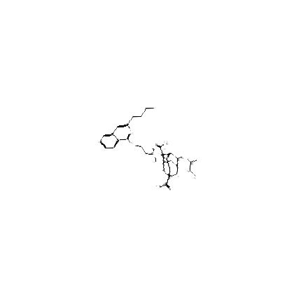 CCCCc1cc2ccccc2c(OCC[N+](C)(C)C2(C(N)=O)C3CC4CC(C(N)=O)(C3)CC2C4OC(C)CC)n1